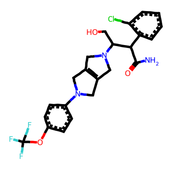 NC(=O)C(c1ccccc1Cl)C(CO)N1CC2=C(CN(c3ccc(OC(F)(F)F)cc3)C2)C1